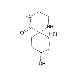 Cl.O=C1NCCNC12CCC(O)CC2